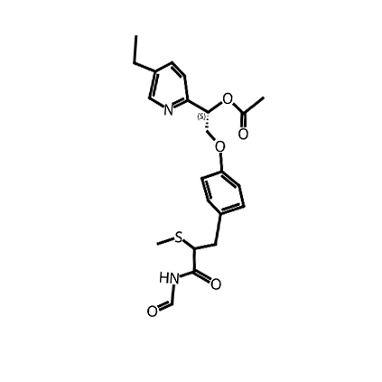 CCc1ccc([C@@H](COc2ccc(CC(SC)C(=O)NC=O)cc2)OC(C)=O)nc1